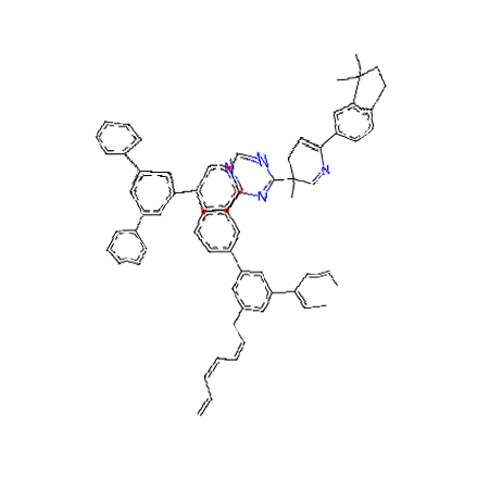 C=C/C=C\C=C/Cc1cc(C(/C=C\C)=C/C)cc(-c2cccc(C(=N/C)/N=C(\N=Cc3cccc(-c4cc(-c5ccccc5)cc(-c5ccccc5)c4)c3)C3(C)C=NC(c4ccc5c(c4)C(C)(C)CC5)=CC3)c2)c1